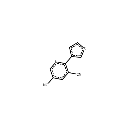 N#Cc1cnc(-c2ccsc2)c(C#N)c1